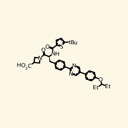 CCC(CC)Oc1ccc(-c2cnc(-c3ccc(C[C@H](NC(=O)c4ccc(C(C)(C)C)s4)C(=O)N4CC(C(=O)O)C4)cc3)nc2)cc1